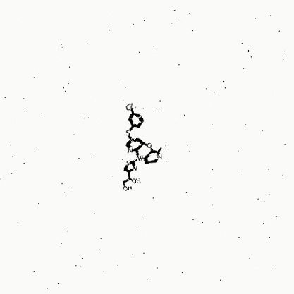 Cc1ncccc1Oc1cc(Sc2cccc(Cl)c2)cnc1Nc1nc(C(O)CO)cs1